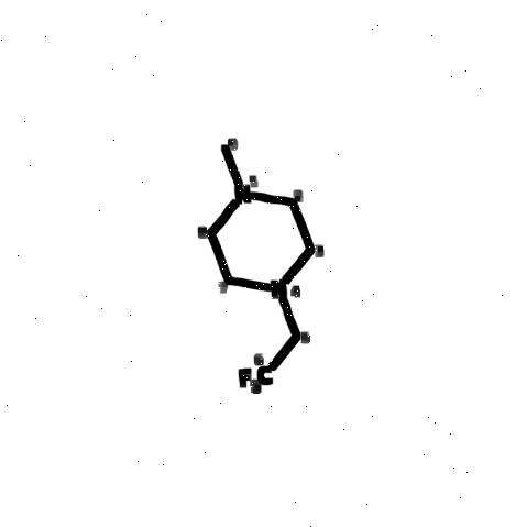 CN1CCN(CC(F)(F)F)CC1